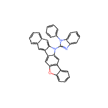 c1ccc(-n2c(-n3c4cc5ccccc5cc4c4cc5oc6ccccc6c5cc43)nc3ccccc32)cc1